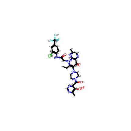 CCc1c(N2CCN(C(=O)c3ncnc(C)c3O)CC2)c(=O)c2ncc(C)nc2n1CC(=O)Nc1ccc(C(F)(F)F)cc1Cl